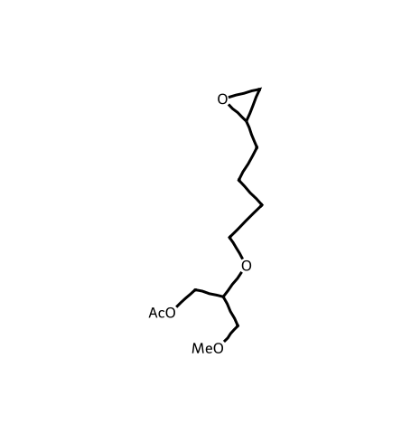 COCC(COC(C)=O)OCCCCC1CO1